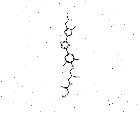 CNCc1sc(-c2nc(-c3cc(C)c(OCC(O)CNC(=O)CO)c(C)c3)no2)cc1C